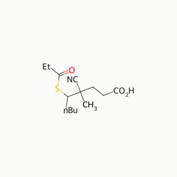 CCCCC(SC(=O)CC)C(C)(C#N)CCC(=O)O